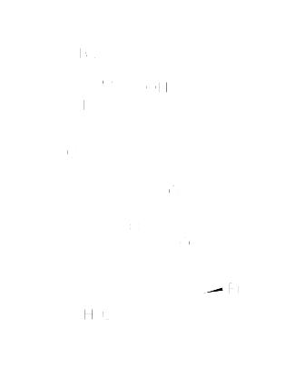 CC(C)[C@H]1CC[C@H](C)C[C@@H]1OC(=O)Oc1cc(O)c2c(c1)OCP2(=O)CC(C)(C)C